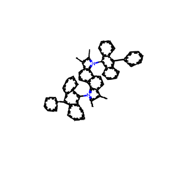 Cc1c(C)n(-c2c3ccccc3c(-c3ccccc3)c3ccccc23)c2c1ccc1c2ccc2c(C)c(C)n(-c3c4ccccc4c(-c4ccccc4)c4ccccc34)c21